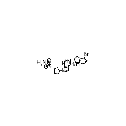 NS(=O)(=O)OC[C@H]1CC[C@H](n2ccc3c(N[C@H]4CCc5c(Br)cccc54)ncnc32)C1